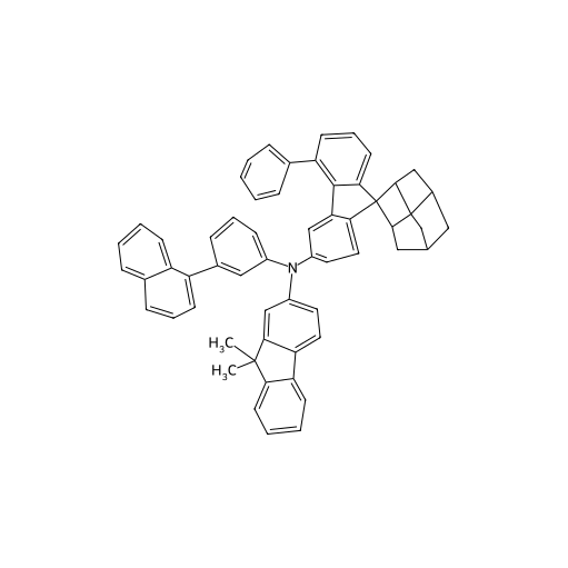 CC1(C)c2ccccc2-c2ccc(N(c3cccc(-c4cccc5ccccc45)c3)c3ccc4c(c3)-c3c(-c5ccccc5)cccc3C43C4CC5CC6CC3C64C5)cc21